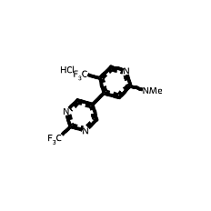 CNc1cc(-c2cnc(C(F)(F)F)nc2)c(C(F)(F)F)cn1.Cl